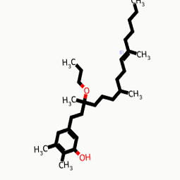 CCCCC/C(C)=C/CCC(C)CCCC(C)(CCC1=CC(O)C(C)=C(C)C1)OCCC